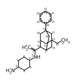 C=C(NC1CCC(N)CC1)C1C2CC3(CC)CC1CC(c1ccccc1)(C2)C3